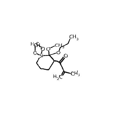 C=C(C)C(=O)C1CCC[Si](OC)(OC)C1(OC)OCCC